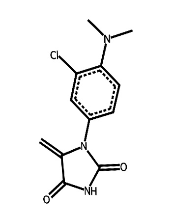 C=C1C(=O)NC(=O)N1c1ccc(N(C)C)c(Cl)c1